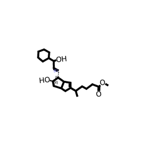 COC(=O)CCCC(C)C1=CC2C(C1)C[C@@H](O)[C@@H]2/C=C/C(O)C1CCCCC1